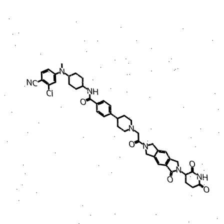 CN(c1ccc(C#N)c(Cl)c1)C1CCC(NC(=O)c2ccc(C3CCN(CC(=O)N4Cc5cc6c(cc5C4)C(=O)N(C4CCC(=O)NC4=O)C6)CC3)cc2)CC1